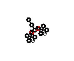 c1ccc(-c2ccc(-c3c4cccc(-c5cccc6c5C(c5ccccc5)(c5ccccc5)c5ccccc5O6)c4cc4c(-c5cccc6c5C(c5ccccc5)(c5ccccc5)c5ccccc5O6)cccc34)cc2)cc1